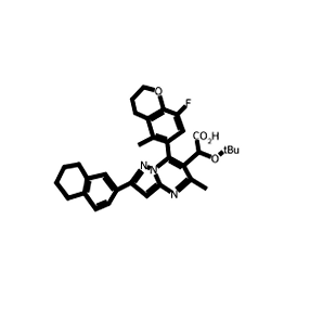 Cc1nc2cc(-c3ccc4c(c3)CCCC4)nn2c(-c2cc(F)c3c(c2C)CCCO3)c1C(OC(C)(C)C)C(=O)O